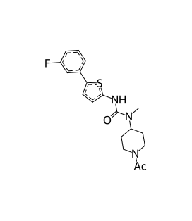 CC(=O)N1CCC(N(C)C(=O)Nc2ccc(-c3cccc(F)c3)s2)CC1